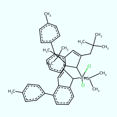 Cc1ccc(-c2cccc3c2C=C(CC(C)(C)C)[CH]3[Zr]([Cl])([Cl])([CH]2C(CC(C)(C)C)=Cc3c(-c4ccc(C)cc4)cccc32)[SiH](C)C)cc1